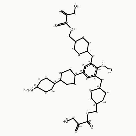 C=C(CO)C(=O)OCC1CCC(Cc2cc(C3CCC(C4CCC(CCCCC)CC4)CC3)cc(CC3CCC(COC(=O)C(=C)CO)CC3)c2OCC)CC1